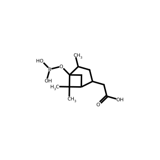 CC1CC(CC(=O)O)C2CC1(OB(O)O)C2(C)C